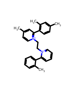 Cc1ccc(-c2cc(C)cc[n+]2CC[n+]2ccccc2-c2ccccc2C)c(C)c1